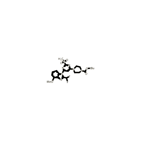 COc1cccc2c1nc(C(F)F)n2-c1cc(N2CCN(C(=O)OC(C)(C)C)CC2)nc(S(C)(=O)=O)n1